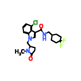 CN1C(=O)CCC1Cn1cc(C(=O)NCC2CCC(F)(F)CC2)c2c(Cl)cccc21